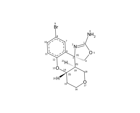 NC1=N[C@]2(CO1)c1cc(Br)ccc1O[C@H]1CCOC[C@@H]12